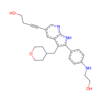 OCCC#Cc1cnc2[nH]c(-c3ccc(NCCO)cc3)c(CC3CCOCC3)c2c1